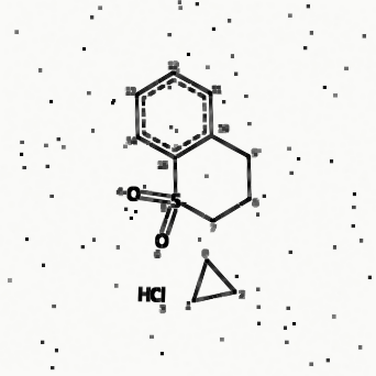 C1CC1.Cl.O=S1(=O)CCCc2ccccc21